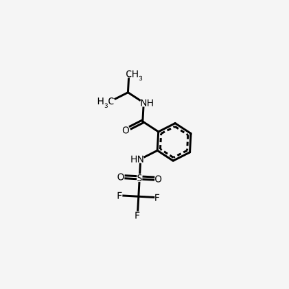 CC(C)NC(=O)c1ccccc1NS(=O)(=O)C(F)(F)F